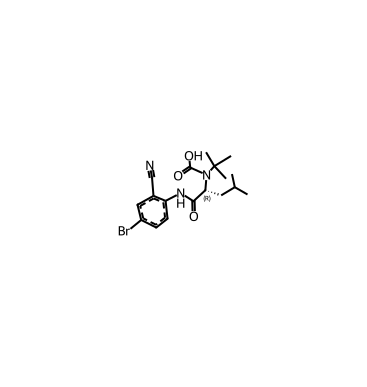 CC(C)C[C@H](C(=O)Nc1ccc(Br)cc1C#N)N(C(=O)O)C(C)(C)C